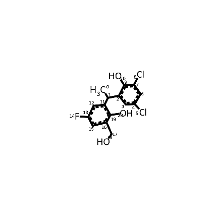 CC(c1cc(Cl)cc(Cl)c1O)c1cc(F)cc(CO)c1O